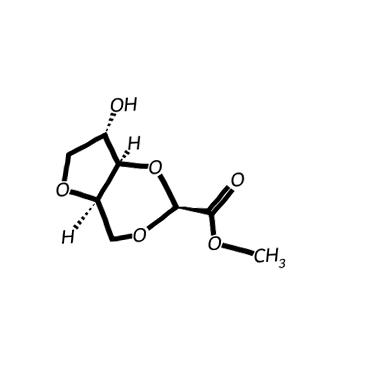 COC(=O)[C@H]1OC[C@H]2OC[C@H](O)[C@H]2O1